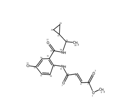 COC(=O)C=CC(=O)Nc1ccc(Cl)cc1C(=O)NC(C)C1CC1